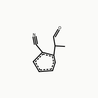 CC(C=O)c1ccccc1C#N